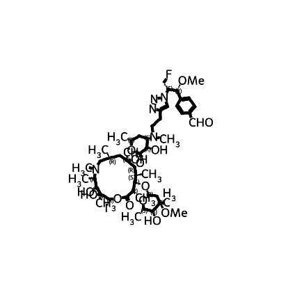 CO[C@H](c1ccc(C=O)cc1)[C@@H](CF)n1cc(CCN(C)[C@H]2C[C@@H](C)O[C@@H](O[C@@H]3[C@@H](C)[C@H](O[C@H]4C[C@@](C)(OC)[C@@H](O)[C@H](C)O4)[C@@H](C)C(=O)O[C@H](I)[C@@](C)(O)[C@H](O)[C@@H](C)N(C)C[C@H](C)C[C@@]3(C)O)[C@@H]2O)nn1